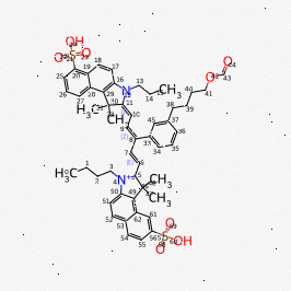 CCCC[N+]1=C(/C=C/C(=C/C=C2/N(CCC)c3ccc4c(S(=O)(=O)O)cccc4c3C2(C)C)c2cccc(CCCCOC=O)c2)C(C)(C)c2c1ccc1ccc(S(=O)(=O)O)cc21